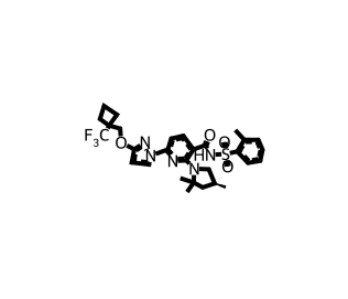 Cc1ccccc1S(=O)(=O)NC(=O)c1ccc(-n2ccc(OCC3(C(F)(F)F)CCC3)n2)nc1N1C[C@@H](C)CC1(C)C